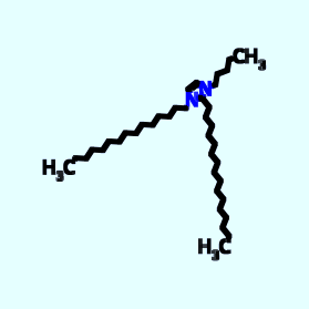 CCCCCCCCCCCCCCCCc1n(CCCCC)cc[n+]1CCCCCCCCCCCCCCC